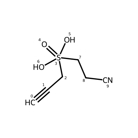 C#CCS(=O)(O)(O)CCC#N